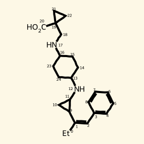 CCC(=Cc1ccccc1)C1CC1NC1CCC(NCC2(C(=O)O)CC2)CC1